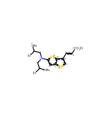 CCCCC(CC)CN(CC(CC)CCCC)c1cc2scc(/C=C/C(=O)OCC)c2s1